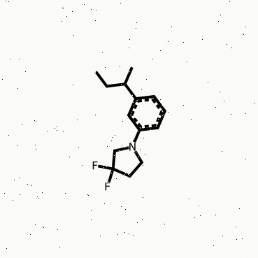 CCC(C)c1cccc(N2CCC(F)(F)C2)c1